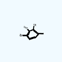 CCc1c(C)ccc(Br)c1O